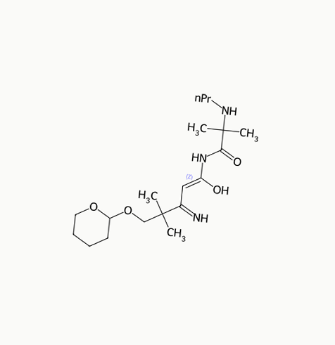 CCCNC(C)(C)C(=O)N/C(O)=C/C(=N)C(C)(C)COC1CCCCO1